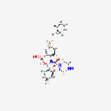 O=C(O)c1cc(SCCc2ccccc2)ccc1N(Cc1ccc(F)cc1)S(=O)(=O)N1CCNCC1